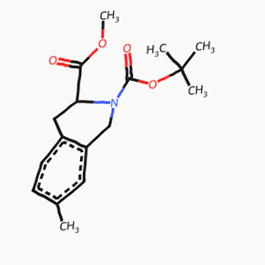 COC(=O)C1Cc2ccc(C)cc2CN1C(=O)OC(C)(C)C